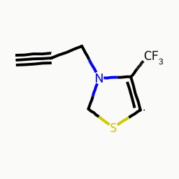 C#CCN1CS[C]=C1C(F)(F)F